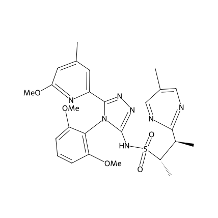 COc1cc(C)cc(-c2nnc(NS(=O)(=O)[C@@H](C)[C@H](C)c3ncc(C)cn3)n2-c2c(OC)cccc2OC)n1